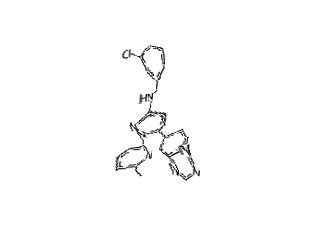 Cc1cccc(-n2nc(NCc3cccc(Cl)c3)cc2-c2ccn3ncnc3c2)n1